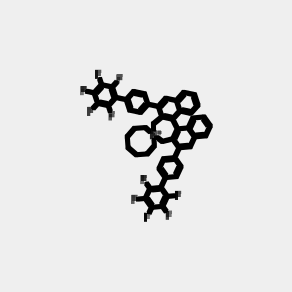 Fc1c(F)c(F)c(-c2ccc(-c3cc4ccccc4c4c3C[N+]3(CCCCCCC3)Cc3c(-c5ccc(-c6c(F)c(F)c(F)c(F)c6F)cc5)cc5ccccc5c3-4)cc2)c(F)c1F